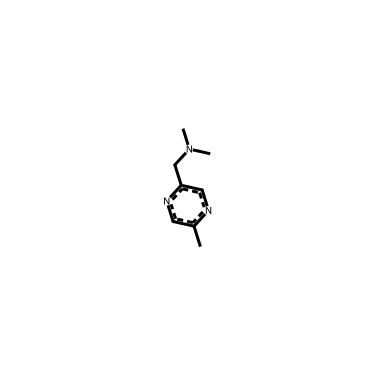 Cc1cnc(CN(C)C)cn1